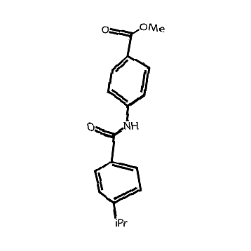 COC(=O)c1ccc(NC(=O)c2ccc(C(C)C)cc2)cc1